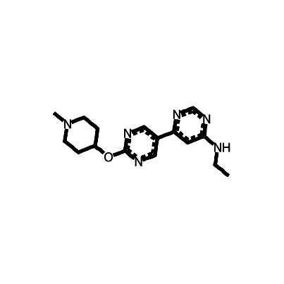 CCNc1cc(-c2cnc(OC3CCN(C)CC3)nc2)ncn1